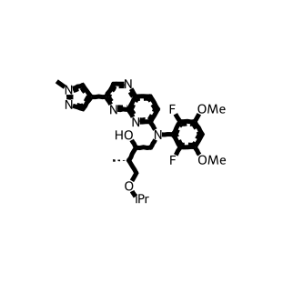 COc1cc(OC)c(F)c(N(CC(O)[C@@H](C)COC(C)C)c2ccc3ncc(-c4cnn(C)c4)nc3n2)c1F